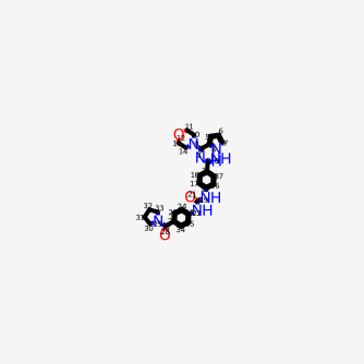 N=C(/N=C(\c1ccc[nH]1)N1CCOCC1)c1ccc(NC(=O)Nc2ccc(C(=O)N3CCCC3)cc2)cc1